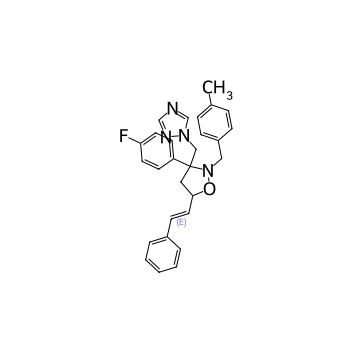 Cc1ccc(CN2OC(/C=C/c3ccccc3)CC2(Cn2cncn2)c2ccc(F)cc2)cc1